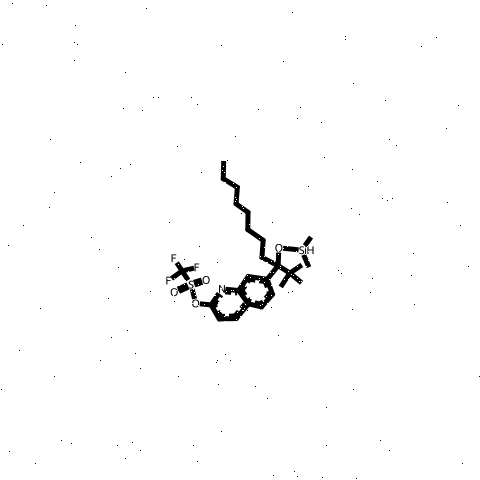 CCCCCCCCC(O[SiH](C)C)(c1ccc2ccc(OS(=O)(=O)C(F)(F)F)nc2c1)C(C)(C)C